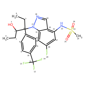 CCC(O)C(CC)(c1ccc(C(F)(F)F)cc1)n1ncc2c(NS(C)(=O)=O)cc(F)cc21